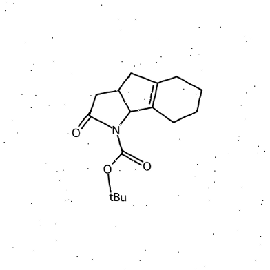 CC(C)(C)OC(=O)N1C(=O)CC2CC3=C(CCCC3)C21